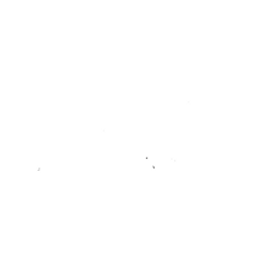 C=C(C)/C(=C\C(C)=C(\C=C(C)C)C(=C)N(C)CCC)c1cc(CCCC)c(Cl)cc1C